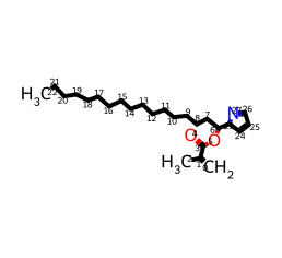 C=C(C)C(=O)OC(CCCCCCCCCCCCCCCC)C1C=CC=N1